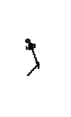 CCCCCCCCCC(CC)SCCCCCCCCCCNC(=O)OCc1ccccc1